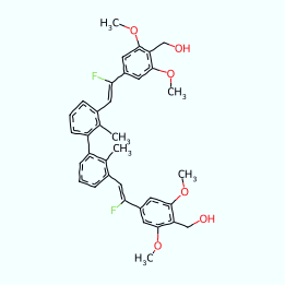 COc1cc(/C(F)=C/c2cccc(-c3cccc(/C=C(\F)c4cc(OC)c(CO)c(OC)c4)c3C)c2C)cc(OC)c1CO